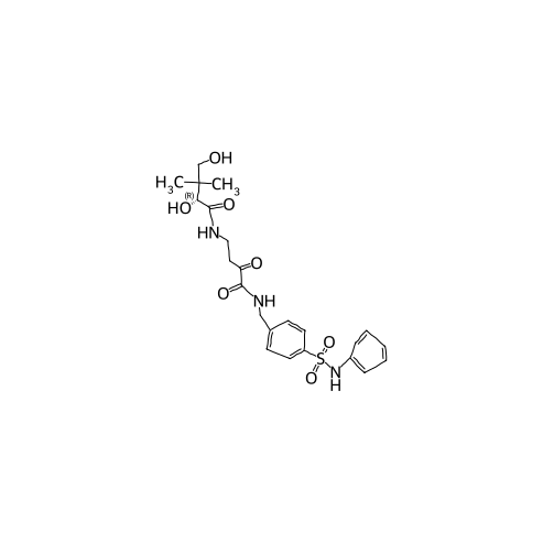 CC(C)(CO)[C@@H](O)C(=O)NCCC(=O)C(=O)NCc1ccc(S(=O)(=O)Nc2ccccc2)cc1